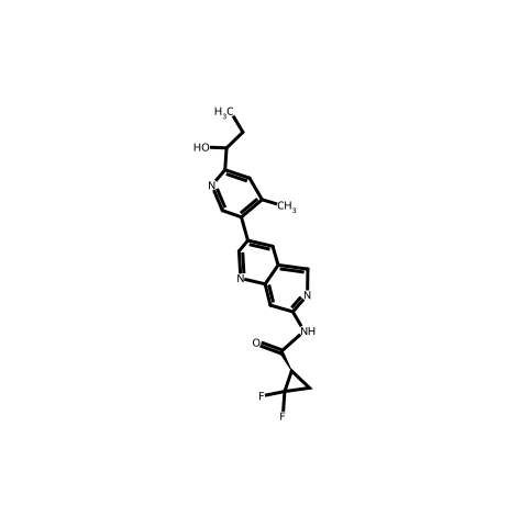 CCC(O)c1cc(C)c(-c2cnc3cc(NC(=O)[C@H]4CC4(F)F)ncc3c2)cn1